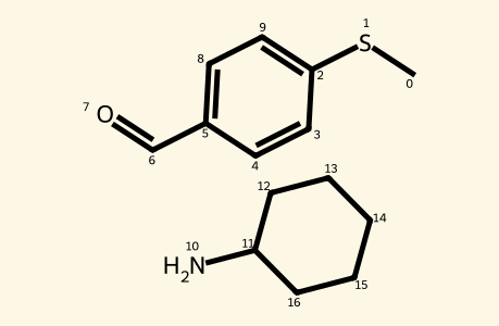 CSc1ccc(C=O)cc1.NC1CCCCC1